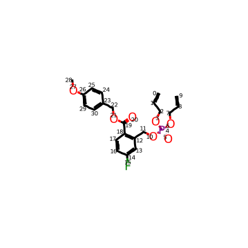 C=CCOP(=O)(OCC=C)OCc1cc(F)ccc1C(=O)OCc1ccc(OC)cc1